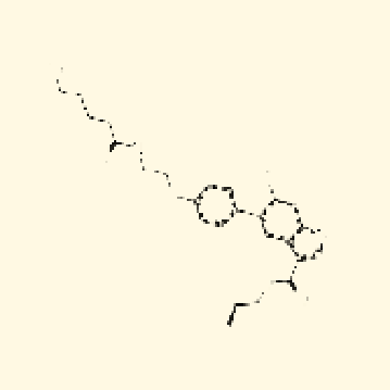 C=CCOC(=O)c1c[nH]c2cc(Cl)c(-c3ccc(OCCNC(=O)CCCCC(=O)O)cc3)cc12